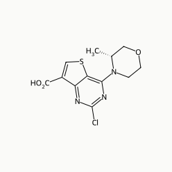 C[C@@H]1COCCN1c1nc(Cl)nc2c(C(=O)O)csc12